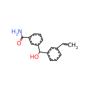 C=Cc1cccc(C(O)c2cccc(C(N)=O)c2)c1